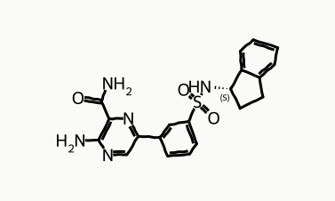 NC(=O)c1nc(-c2cccc(S(=O)(=O)N[C@H]3CCc4ccccc43)c2)cnc1N